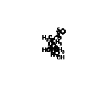 C[C@H](CCC(=O)N1CSc2ccccc21)[C@H]1CC[C@H]2[C@@H]3[C@H](O)C[C@@H]4C[C@H](O)CC[C@]4(C)[C@H]3CC[C@]12C